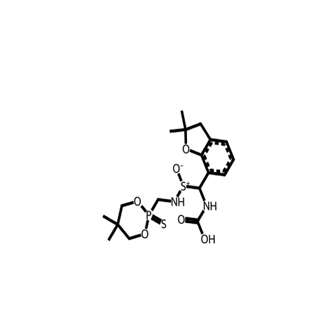 CC1(C)COP(=S)(CN[S+]([O-])C(NC(=O)O)c2cccc3c2OC(C)(C)C3)OC1